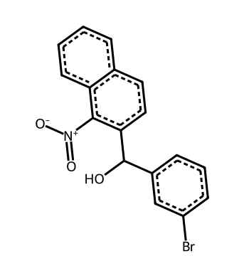 O=[N+]([O-])c1c(C(O)c2cccc(Br)c2)ccc2ccccc12